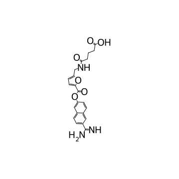 N=C(N)c1ccc2cc(OC(=O)c3ccc(CNC(=O)CCCC(=O)O)o3)ccc2c1